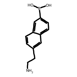 NCCc1ccc2cc(B(O)O)ccc2c1